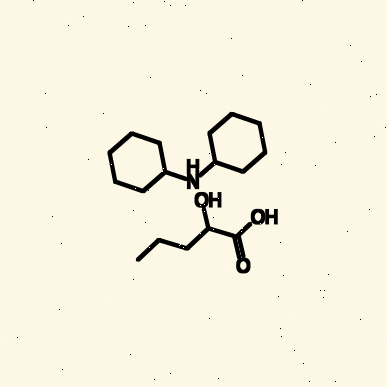 C1CCC(NC2CCCCC2)CC1.CCCC(O)C(=O)O